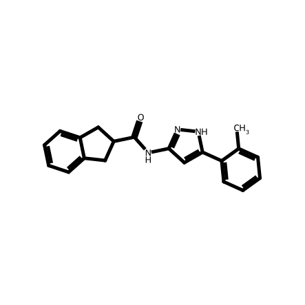 Cc1ccccc1-c1cc(NC(=O)C2Cc3ccccc3C2)n[nH]1